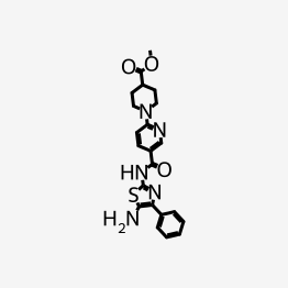 COC(=O)C1CCN(c2ccc(C(=O)Nc3nc(-c4ccccc4)c(N)s3)cn2)CC1